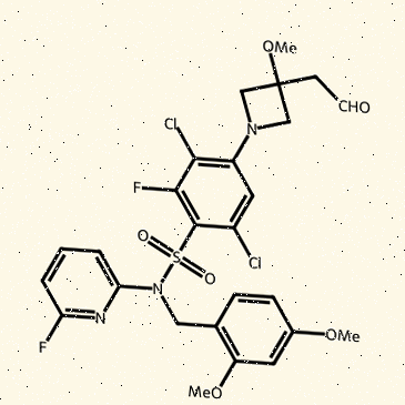 COc1ccc(CN(c2cccc(F)n2)S(=O)(=O)c2c(Cl)cc(N3CC(CC=O)(OC)C3)c(Cl)c2F)c(OC)c1